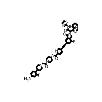 Nc1ccc(C2CCN(CC(=O)N3CCC(NC(=O)c4ccc(C#Cc5cc(F)c6c(c5)C(=O)N(C(C(=O)Nc5nccs5)c5ncn7c5CCC7)C6)cn4)CC3)CC2)c(F)c1